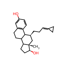 C[C@]12C[C@H](CCC=C3CC3)C3c4ccc(O)cc4CCC3C1CC[C@@H]2O